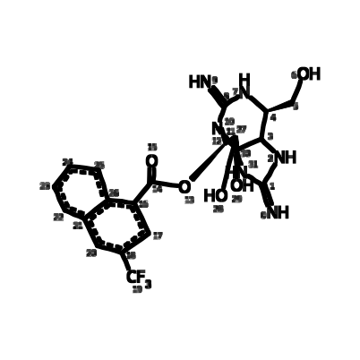 N=C1NC2[C@H](CO)NC(=N)N3C[C@H](OC(=O)c4cc(C(F)(F)F)cc5ccccc45)C(O)(O)[C@]23N1